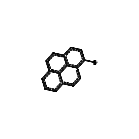 [S]c1ccc2ccc3cccc4ccc1c2c34